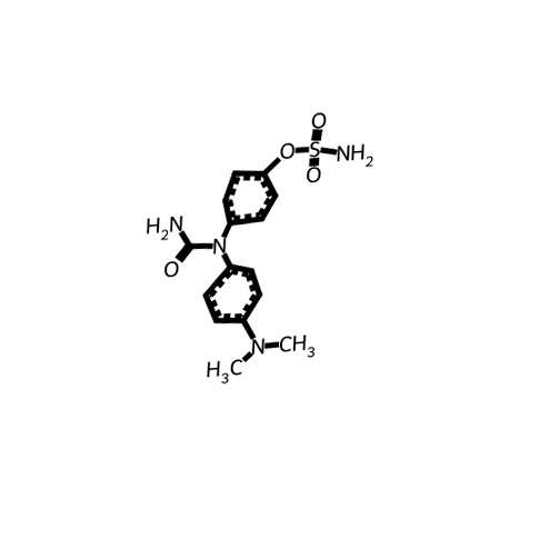 CN(C)c1ccc(N(C(N)=O)c2ccc(OS(N)(=O)=O)cc2)cc1